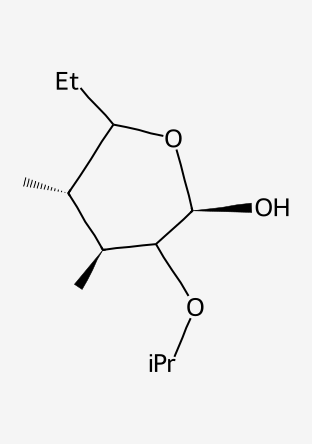 CCC1O[C@@H](O)C(OC(C)C)[C@@H](C)[C@@H]1C